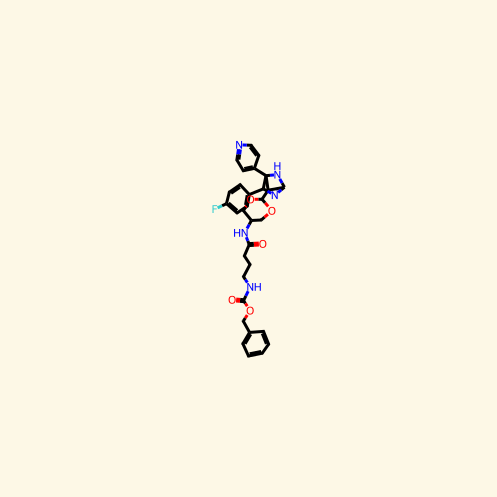 O=C(CCCNC(=O)OCc1ccccc1)NC1COC(C2C3=NC(c4ccc(F)cc4)C2(c2ccncc2)N3)OC1